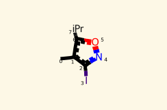 Cc1c(I)noc1C(C)C